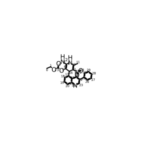 CCOC(=O)OC1=C(N)NC(C)=C([N+](=O)[O-])C1c1cccc2ncc(-c3ccccc3)cc12